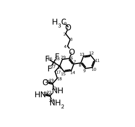 COCCCOC1=C(c2ccccc2)C=CC(CCC(=O)NC(=N)N)(C(F)(F)F)C1